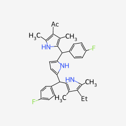 CCc1c(C)[nH]c(C(c2ccc(F)cc2)c2ccc(C(c3ccc(F)cc3)c3[nH]c(C)c(C(C)=O)c3C)[nH]2)c1C